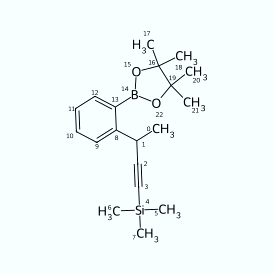 CC(C#C[Si](C)(C)C)c1ccccc1B1OC(C)(C)C(C)(C)O1